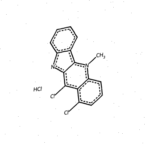 Cl.Cn1c2c3ccccc3nc-2c(Cl)c2c(Cl)cccc21